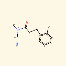 Cc1ccccc1[CH]CC(=O)N(C)C#N